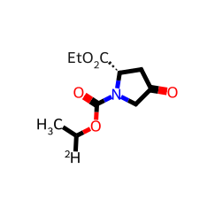 [2H]C(C)OC(=O)N1CC(=O)C[C@H]1C(=O)OCC